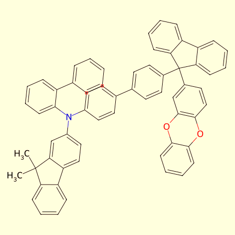 CC1(C)c2ccccc2-c2ccc(N(c3ccc(-c4ccc(C5(c6ccc7c(c6)Oc6ccccc6O7)c6ccccc6-c6ccccc65)cc4)cc3)c3ccccc3-c3ccccc3)cc21